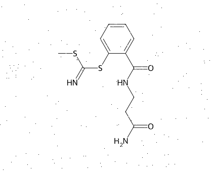 CSC(=N)Sc1ccccc1C(=O)NCCC(N)=O